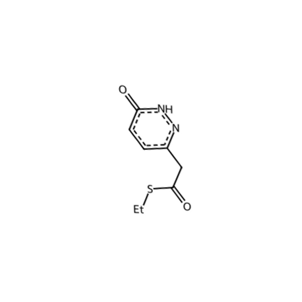 CCSC(=O)Cc1ccc(=O)[nH]n1